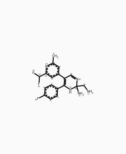 Cc1cc(C2=C(c3ccc(F)cc3)NC(N)(CN)N=C2)cc(C(F)F)n1